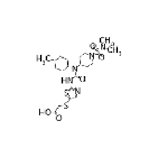 CN(C)S(=O)(=O)N1CCC(N(C(=O)Nc2ncc(SCC(=O)O)s2)[C@H]2CC[C@H](C)CC2)CC1